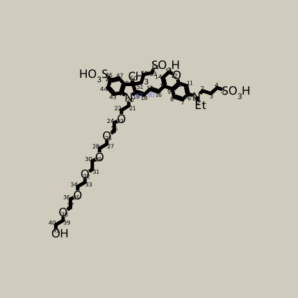 CCN(CCCS(=O)(=O)O)c1ccc2c(c1)OCC=C2/C=C/C=C1/N(CCOCCOCCOCCOCCOCCOCCO)c2ccc(S(=O)(=O)O)cc2C1(C)CCCS(=O)(=O)O